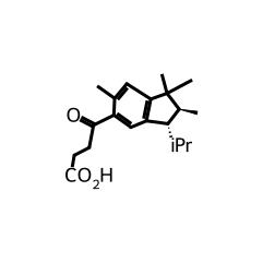 Cc1cc2c(cc1C(=O)CCC(=O)O)[C@@H](C(C)C)[C@H](C)C2(C)C